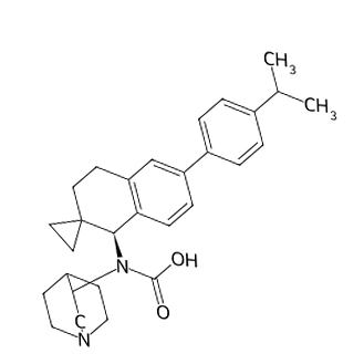 CC(C)c1ccc(-c2ccc3c(c2)CCC2(CC2)[C@@H]3N(C(=O)O)C2CN3CCC2CC3)cc1